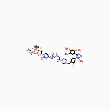 CC(C)c1cc(-c2nnc(O)n2-c2ccc(CN3CCN(C(=O)CN(C)CC(=O)Nc4ccn([C@@H]5O[C@H](CO[Si](C)(C)C(C)(C)C)[C@@H](O[Si](C)(C)C(C)(C)C)C5(F)F)c(=O)n4)CC3)c(F)c2)c(O)cc1O